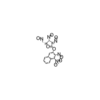 O=NC[C@H]1O[C@@H](Oc2cc3ccccc3c([N+](=O)[O-])c2N=O)[C@@H](N=O)C1N=O